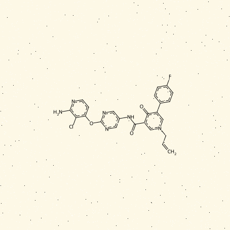 C=CCn1cc(C(=O)Nc2cnc(Oc3ccnc(N)c3Cl)nc2)c(=O)c(-c2ccc(F)cc2)c1